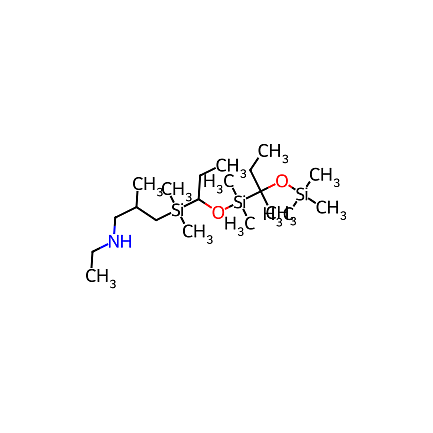 CCNCC(C)C[Si](C)(C)C(CC)O[Si](C)(C)C(C)(CC)O[Si](C)(C)C